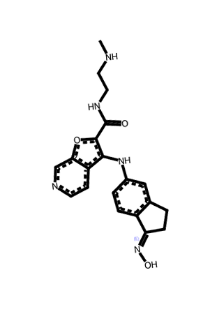 CNCCNC(=O)c1oc2cnccc2c1Nc1ccc2c(c1)CC/C2=N\O